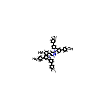 N#Cc1ccc(-c2ccc3c(c2)c2cc(-c4ccc(C#N)cc4)ccc2n3-c2cc(-c3ccc(C#N)cc3)c(-n3c4ccc(-c5ccc(C#N)cc5)cc4c4cc(-c5ccc(C#N)cc5)ccc43)cn2)cc1